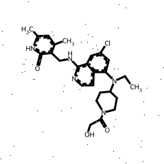 CCN(c1cc(Cl)cc2c(NCc3c(C)cc(C)[nH]c3=O)nccc12)C1CCN(C(=O)CO)CC1